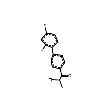 CC(Cl)C(=O)c1ccc(-c2ccc(F)cc2F)cc1